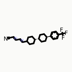 N#C/C=C/C=C/C1CCC([C@H]2CC[C@H](c3ccc(C(F)(F)F)cc3)CC2)CC1